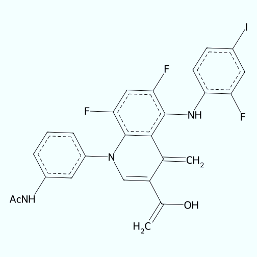 C=C(O)C1=CN(c2cccc(NC(C)=O)c2)c2c(F)cc(F)c(Nc3ccc(I)cc3F)c2C1=C